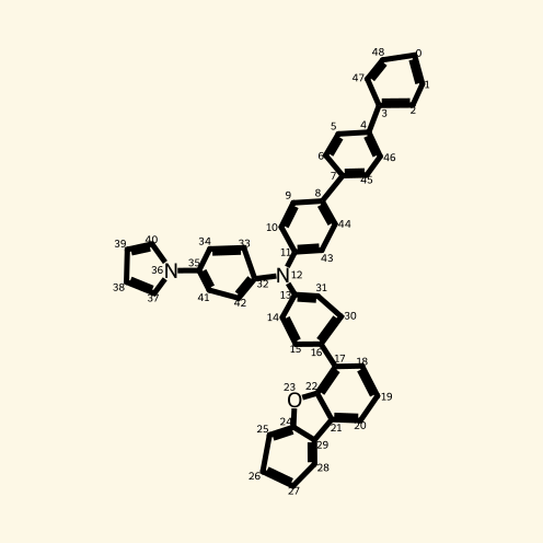 c1ccc(-c2ccc(-c3ccc(N(c4ccc(-c5cccc6c5oc5ccccc56)cc4)c4ccc(-n5cccc5)cc4)cc3)cc2)cc1